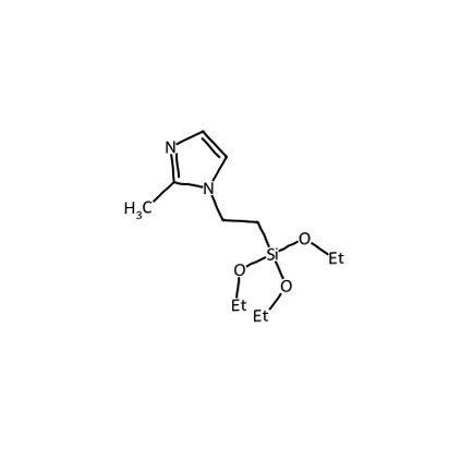 CCO[Si](CCn1ccnc1C)(OCC)OCC